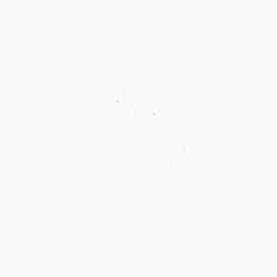 FC(F)(Br)Oc1cccc2cccc(Br)c12